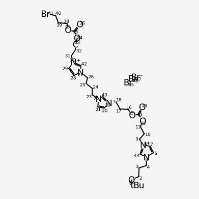 CC(C)(C)OCCCn1cc[n+](CCCOC(=O)OCCC[n+]2ccn(CCCCn3cc[n+](CCCOC(=O)OCCCBr)c3)c2)c1.[Br-].[Br-].[Br-]